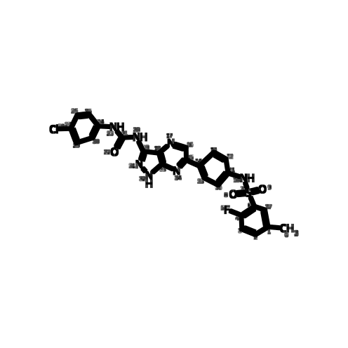 Cc1ccc(F)c(S(=O)(=O)Nc2ccc(-c3cnc4c(NC(=O)Nc5ccc(Cl)cc5)n[nH]c4n3)cc2)c1